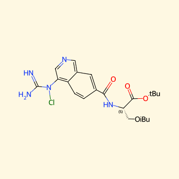 CC(C)COC[C@H](NC(=O)c1ccc2c(N(Cl)C(=N)N)cncc2c1)C(=O)OC(C)(C)C